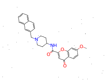 COc1ccc2c(=O)cc(C(=O)NC3CCN(Cc4ccc5ccccc5c4)CC3)oc2c1